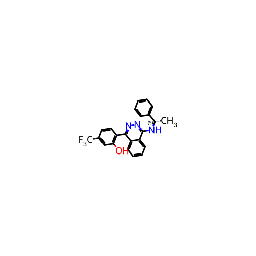 C[C@H](Nc1nnc(-c2ccc(C(F)(F)F)cc2O)c2ccccc12)c1ccccc1